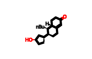 CCCC[C@H]1[C@H]([C@@H]2CC[C@H](O)C2)CCC2=CC(=O)CC[C@@H]21